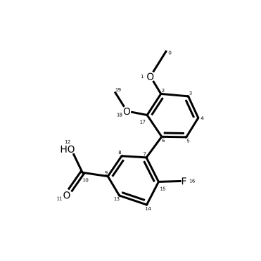 COc1cccc(-c2cc(C(=O)O)ccc2F)c1OC